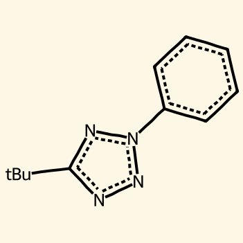 CC(C)(C)c1nnn(-c2ccccc2)n1